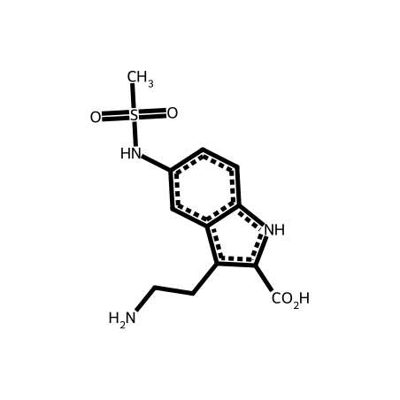 CS(=O)(=O)Nc1ccc2[nH]c(C(=O)O)c(CCN)c2c1